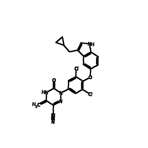 C=C1NC(=O)N(c2cc(Cl)c(Oc3ccc4[nH]cc(CC5CC5)c4c3)c(Cl)c2)N=C1C#N